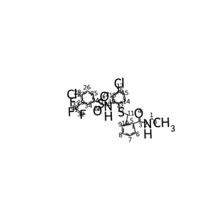 CCNC(=O)c1ccccc1CSc1ccc(Cl)cc1NS(=O)(=O)c1ccc(Cl)c(C(F)(F)F)c1